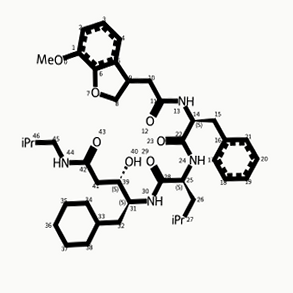 COc1cccc2c1OCC2CC(=O)N[C@@H](Cc1ccccc1)C(=O)N[C@@H](CC(C)C)C(=O)N[C@@H](CC1CCCCC1)[C@@H](O)CC(=O)NCC(C)C